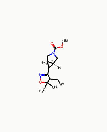 CC(C)CC1C(C2[C@H]3CN(C(=O)OC(C)(C)C)C[C@@H]23)=NOC1(C)C